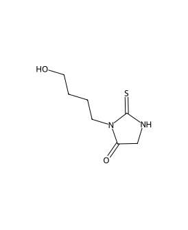 O=C1CNC(=S)N1CCCCO